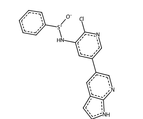 [O-][S+](Nc1cc(-c2cnc3[nH]ccc3c2)cnc1Cl)c1ccccc1